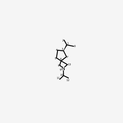 CC(C)[C@@H]1CCC2(C1)CN(C(C)C)C2